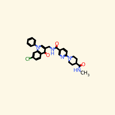 CNC(=O)C1CCN(c2ccc(C(=O)NCc3cn(-c4ccccc4)c4cc(Cl)ccc4c3=O)cn2)CC1